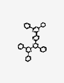 c1ccc(-c2cc(-c3ccccc3)nc(-c3cc(-c4ccccc4)cc(-c4ccc(-c5nc(-c6ccccc6)nc(-c6ccccc6)n5)cn4)n3)c2)cc1